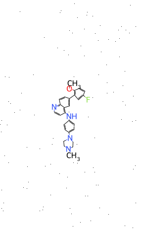 COc1ccc(F)cc1-c1ccc2nccc(Nc3ccc(N4CCN(C)CC4)cc3)c2c1